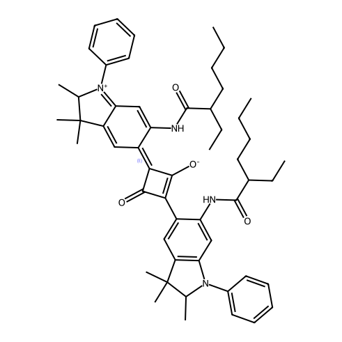 CCCCC(CC)C(=O)Nc1cc2c(cc1C1=C([O-])/C(=c3/cc4c(cc3NC(=O)C(CC)CCCC)=[N+](c3ccccc3)C(C)C4(C)C)C1=O)C(C)(C)C(C)N2c1ccccc1